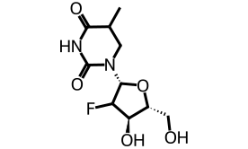 CC1CN([C@@H]2O[C@H](CO)[C@@H](O)C2F)C(=O)NC1=O